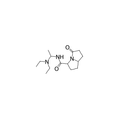 CCN(CC)C(C)NC(=O)C1CCC2CCC(=O)N21